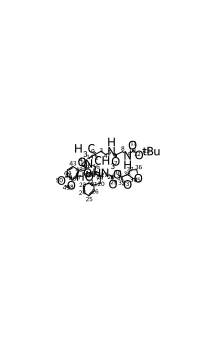 CC(C)(CCNC(=O)CNC(=O)OC(C)(C)C)CN(C[C@H](O)[C@H](Cc1ccccc1)NC(=O)OC1COC2OCCC12)S(=O)(=O)c1ccc2c(c1)OCO2